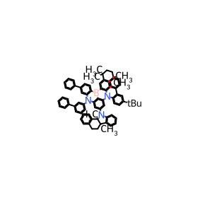 CC(C)(C)c1ccc(N2c3cc4c(cc3B3c5ccc(-c6ccccc6)cc5N(c5cccc(-c6ccccc6)c5)c5cc(N6c7ccccc7C7(C)CCc8ccccc8C67C)cc2c53)C(C)(C)CCC4(C)C)c(-c2ccccc2)c1